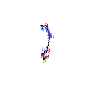 COC(=O)c1cc(C(F)(F)F)ccc1C(=O)Nc1cc(-c2ccc(C(=O)NCCCCCCCCCCCC(=O)NCC(=O)N3CCN(c4ncc(-c5ccc6c(n5)N(Cc5cccnc5C#N)C(C)(C)C6=O)cn4)C[C@H]3C)cc2)cc(C)n1